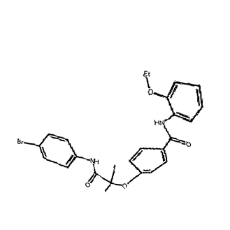 CCOc1ccccc1NC(=O)c1ccc(OC(C)(C)C(=O)Nc2ccc(Br)cc2)cc1